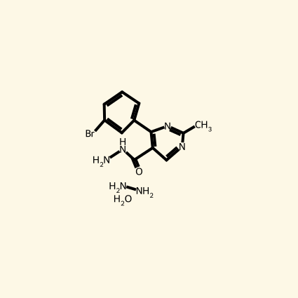 Cc1ncc(C(=O)NN)c(-c2cccc(Br)c2)n1.NN.O